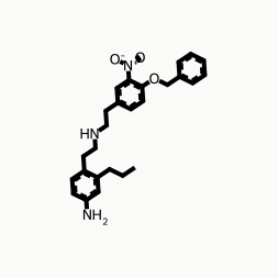 CCCc1cc(N)ccc1CCNCCc1ccc(OCc2ccccc2)c([N+](=O)[O-])c1